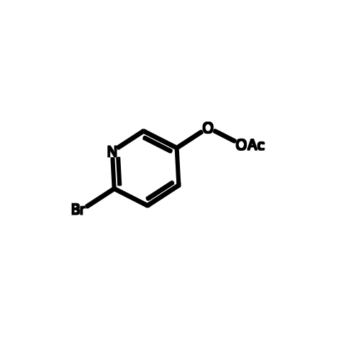 CC(=O)OOc1ccc(Br)nc1